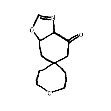 O=C1CC2(CCOCC2)CC2OC=NC12